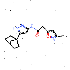 Cc1cc(CC(=O)Nc2cc(C34CCC(CC3)C4)[nH]n2)on1